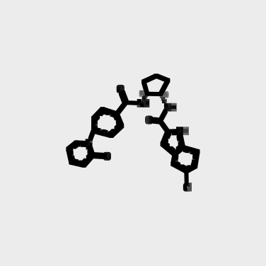 O=C(N[C@@H]1CCC[C@@H]1NC(=O)c1cc2cc(Cl)ccc2[nH]1)c1ccc(-n2ccccc2=O)cc1